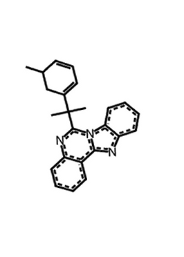 CC1C=CC=C(C(C)(C)c2nc3ccccc3c3nc4ccccc4n23)C1